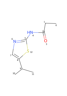 CCC(=O)Nc1ncc(C(C)C)s1